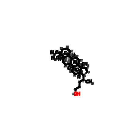 C[C@H](CCCO)[C@H]1CC[C@]2(C)[C@H]3CC[C@@H]4[C@@]5(C)CCCC(C)(C)[C@@H]5CC[C@@]4(C)[C@]3(C)CC[C@@H]12